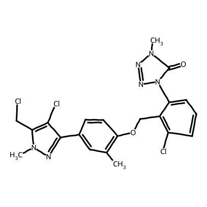 Cc1cc(-c2nn(C)c(CCl)c2Cl)ccc1OCc1c(Cl)cccc1-n1nnn(C)c1=O